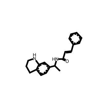 CC(NC(=O)C=Cc1ccccc1)c1ccc2c(c1)NCCC2